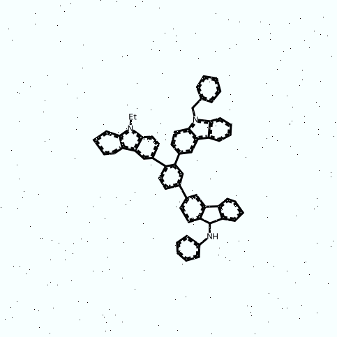 CCn1c2ccccc2c2cc(-c3ccc(-c4ccc5c(c4)-c4ccccc4C5Nc4ccccc4)cc3-c3ccc4c(c3)c3ccccc3n4Cc3ccccc3)ccc21